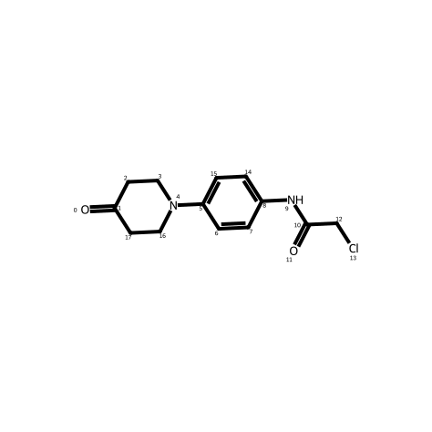 O=C1CCN(c2ccc(NC(=O)CCl)cc2)CC1